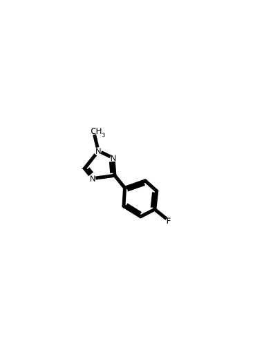 Cn1[c]nc(-c2ccc(F)cc2)n1